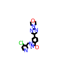 Cn1c(=O)c2ccc(-c3cnc(N4CCOCC4)nc3)cc2n1Cc1cnccc1Cl